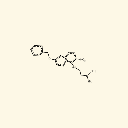 CC(C)(C)N(CCNc1c([N+](=O)[O-])cnc2cc(OCc3ccccc3)ccc12)C(=O)O